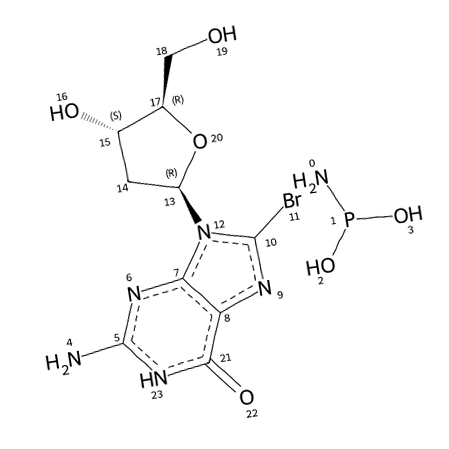 NP(O)O.Nc1nc2c(nc(Br)n2[C@H]2C[C@H](O)[C@@H](CO)O2)c(=O)[nH]1